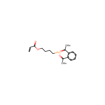 C=CC(=O)OCCCCP.COC(=O)c1ccccc1C(=O)OC